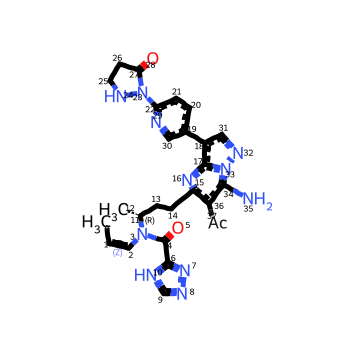 C/C=C\N(C(=O)c1nnc[nH]1)[C@H](C)CCc1nc2c(-c3ccc(N4NCCC4=O)nc3)cnn2c(N)c1C(C)=O